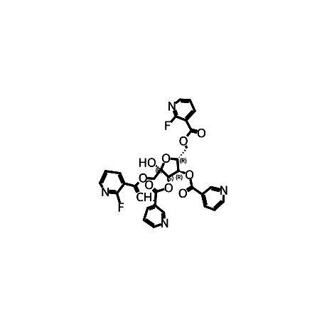 C=C(OC[C@@]1(O)O[C@H](COC(=O)c2cccnc2F)[C@@H](OC(=O)c2cccnc2)[C@@H]1OC(=O)c1cccnc1)c1cccnc1F